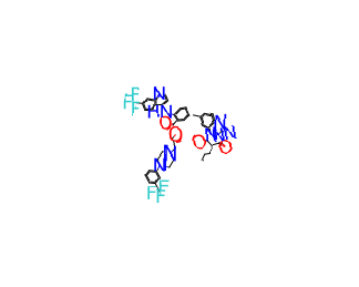 CCCC1C(=O)N2C(N(C)C)=Nc3ccc(C)cc3N2C1=O.O=C(OCCN1CCN(c2cccc(C(F)(F)F)c2)CC1)c1ccccc1Nc1ccnc2cc(C(F)(F)F)ccc12